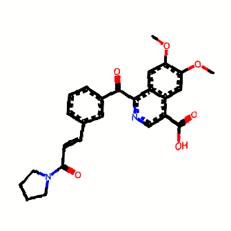 COc1cc2c(C(=O)O)cnc(C(=O)c3cccc(C=CC(=O)N4CCCC4)c3)c2cc1OC